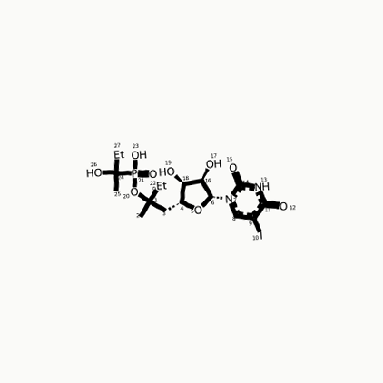 CCC(C)(C[C@H]1O[C@@H](n2cc(I)c(=O)[nH]c2=O)[C@H](O)[C@@H]1O)OP(=O)(O)C(C)(O)CC